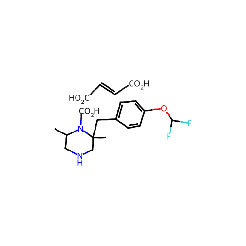 CC1CNCC(C)(Cc2ccc(OC(F)F)cc2)N1C(=O)O.O=C(O)C=CC(=O)O